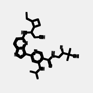 CCC1CCC1C(CO)Nc1ccc2ncc(-c3cc(NC(C)C)c(C(=O)NC[C@@H](F)C(C)(C)O)cn3)n2n1